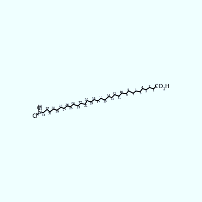 O=C(O)CCCCCCCCCCCCCCCCCCCCCCCCCCCCCCCCC[SiH](Cl)Cl